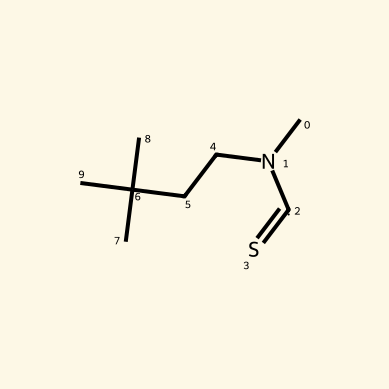 CN([C]=S)CCC(C)(C)C